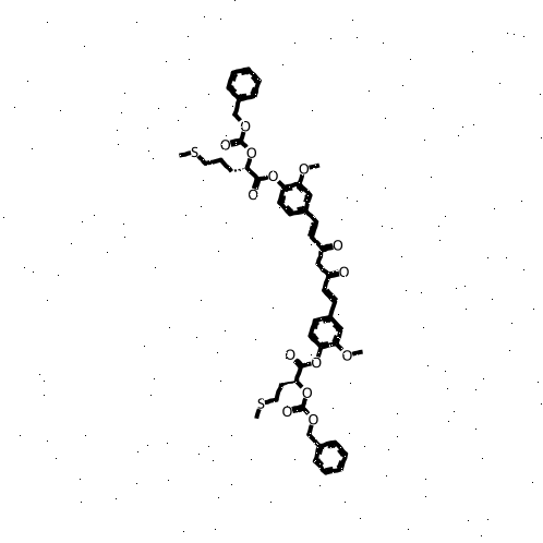 COc1cc(/C=C/C(=O)CC(=O)/C=C/c2ccc(OC(=O)[C@H](CCSC)OC(=O)OCc3ccccc3)c(OC)c2)ccc1OC(=O)[C@H](CCCSC)OC(=O)OCc1ccccc1